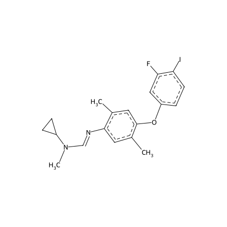 Cc1cc(Oc2ccc(I)c(F)c2)c(C)cc1N=CN(C)C1CC1